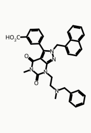 CN(CCn1c(=O)n(C)c(=O)c2c(-c3cccc(C(=O)O)c3)n(Cc3cccc4ccccc34)nc21)Cc1ccccc1